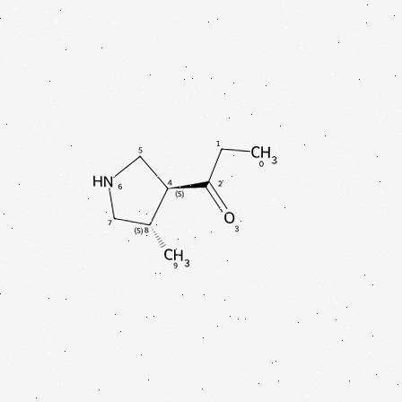 CCC(=O)[C@@H]1CNC[C@H]1C